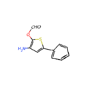 Nc1cc(-c2ccccc2)sc1OC=O